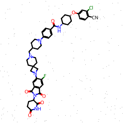 N#Cc1ccc(O[C@H]2CC[C@H](NC(=O)c3ccc(N4CCC(CN5CCC6(CC5)CN(c5cc7c(cc5F)C(=O)N(C5CCC(=O)NC5=O)C7=O)C6)CC4)cc3)CC2)cc1Cl